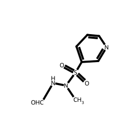 CN(NC=O)S(=O)(=O)c1cccnc1